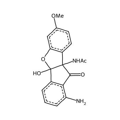 COc1ccc2c(c1)OC1(O)c3cccc(N)c3C(=O)C21NC(C)=O